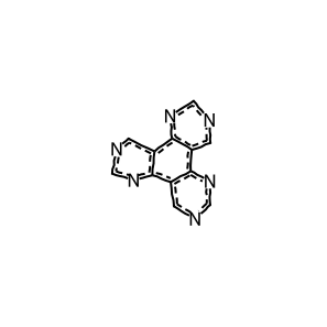 c1ncc2c(n1)c1cncnc1c1cncnc21